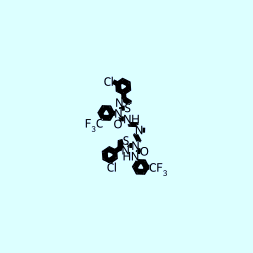 CN(CCNC(=O)N(c1cccc(C(F)(F)F)c1)c1nc(-c2cccc(Cl)c2)cs1)CCN(C(=O)Nc1cccc(C(F)(F)F)c1)c1nc(-c2cccc(Cl)c2)cs1